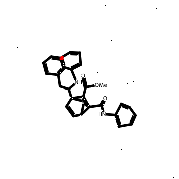 COC(=O)C1=C(C(=O)Nc2ccccc2)C2C=CC1(C(Cc1ccccc1)Nc1ccccc1)O2